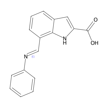 O=C(O)c1cc2cccc(/C=N/c3ccccc3)c2[nH]1